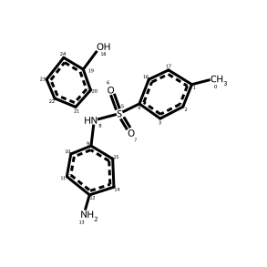 Cc1ccc(S(=O)(=O)Nc2ccc(N)cc2)cc1.Oc1ccccc1